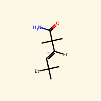 CC/C(=C\C(C)(C)CC)C(C)(C)C(N)=O